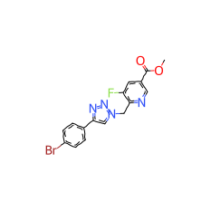 COC(=O)c1cnc(Cn2cc(-c3ccc(Br)cc3)nn2)c(F)c1